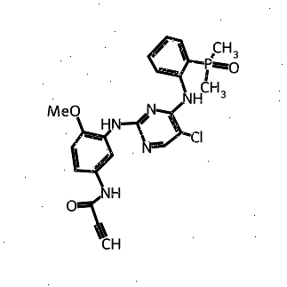 C#CC(=O)Nc1ccc(OC)c(Nc2ncc(Cl)c(Nc3ccccc3P(C)(C)=O)n2)c1